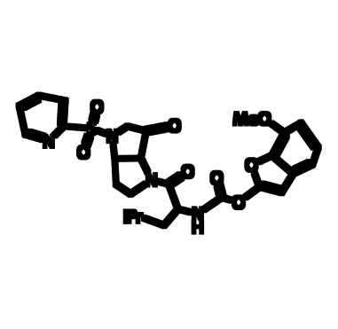 COc1cccc2cc(OC(=O)NC(CC(C)C)C(=O)N3CCC4C3C(=O)CN4S(=O)(=O)c3ccccn3)oc12